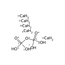 O=P(O)(O)OP(=O)(O)O.[CaH2].[CaH2].[CaH2].[CaH2].[CaH2]